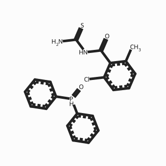 Cc1cccc(Cl)c1C(=O)NC(N)=S.O=[PH](c1ccccc1)c1ccccc1